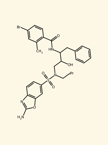 Cc1cc(Br)ccc1C(=O)NC(Cc1ccccc1)C(O)CN(CC(C)C)S(=O)(=O)c1ccc2nc(N)oc2c1